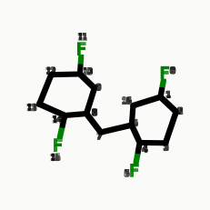 FC1CCC(F)C(CC2CC(F)CCC2F)C1